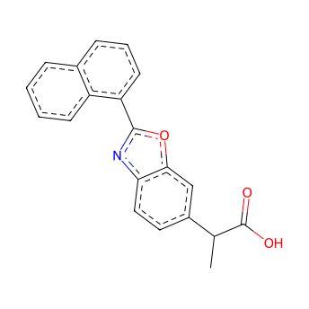 CC(C(=O)O)c1ccc2nc(-c3cccc4ccccc34)oc2c1